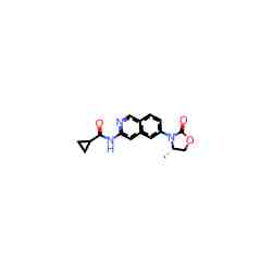 C[C@H]1COC(=O)N1c1ccc2cnc(NC(=O)C3CC3)cc2c1